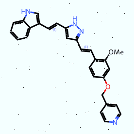 COc1cc(OCc2ccncc2)ccc1/C=C/c1cc(/C=C/c2c[nH]c3ccccc23)[nH]n1